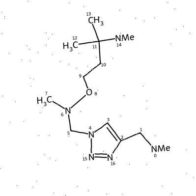 CNCc1cn(CN(C)OCCC(C)(C)NC)nn1